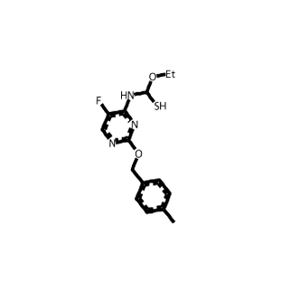 CCOC(S)Nc1nc(OCc2ccc(C)cc2)ncc1F